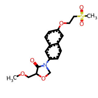 COCC1OCN(c2ccc3cc(OCCS(C)(=O)=O)ccc3c2)C1=O